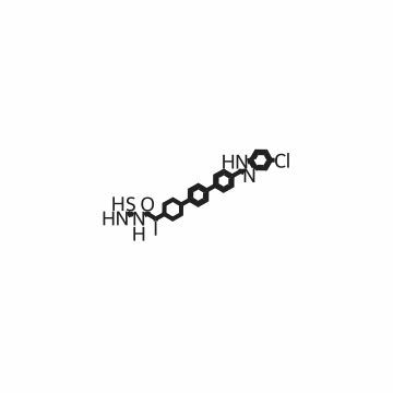 N=C(S)NC(=O)C(I)C1CCC(c2ccc(-c3ccc(-c4nc5cc(Cl)ccc5[nH]4)cc3)cc2)CC1